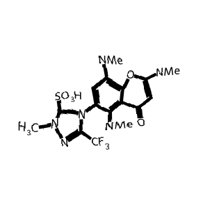 CNc1cc(=O)c2c(NC)c(N3C(C(F)(F)F)=NN(C)C3S(=O)(=O)O)cc(NC)c2o1